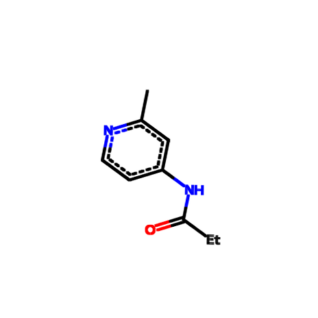 CCC(=O)Nc1ccnc(C)c1